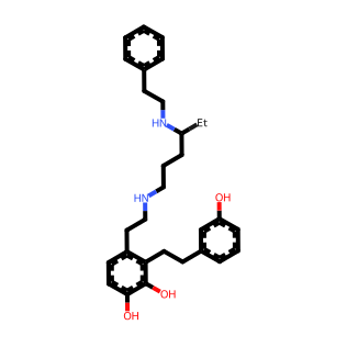 CCC(CCCNCCc1ccc(O)c(O)c1CCc1cccc(O)c1)NCCc1ccccc1